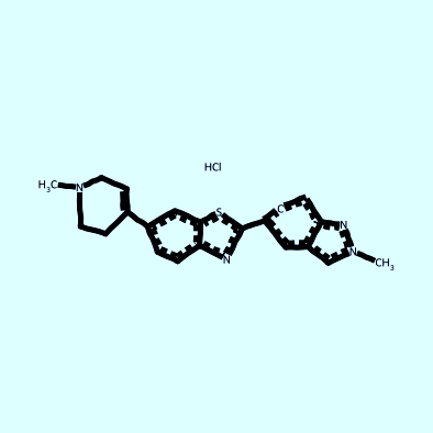 CN1CC=C(c2ccc3nc(-c4ccc5nn(C)cc5c4)sc3c2)CC1.Cl